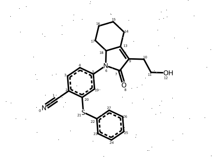 N#Cc1ccc(N2C(=O)C(CCO)=C3CCCCC32)cc1Sc1ccccc1